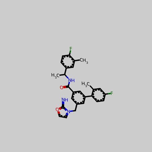 Cc1cc(C(C)NC(=O)c2cc(Cn3ccoc3=N)cc(-c3ccc(F)cc3C)c2)ccc1F